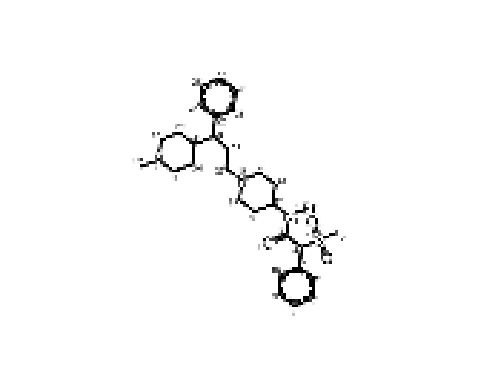 CCN(C(=O)C(c1ccccc1)S(C)(=O)=O)C1CCN(CCC(c2ccccc2)C2CCN(C)CC2)CC1